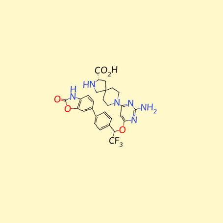 Nc1nc(OC(c2ccc(-c3ccc4[nH]c(=O)oc4c3)cc2)C(F)(F)F)cc(N2CCC3(CC2)CN[C@H](C(=O)O)C3)n1